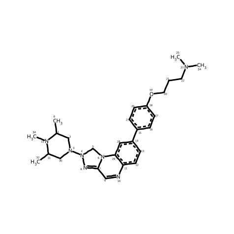 CC1CN(N2CN3C(=N2)C=Nc2ccc(-c4ccc(OCCCN(C)C)cc4)cc23)CC(C)N1C